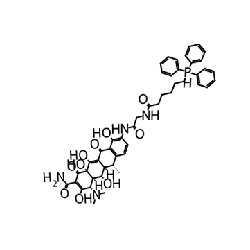 C[C@H]1c2ccc(NC(=O)CNC(=O)CCCCC[PH](c3ccccc3)(c3ccccc3)c3ccccc3)c(O)c2C(=O)C2=C(O)[C@]3(O)C(=O)C(C(N)=O)=C(O)[C@@H](N(C)C)[C@@H]3[C@@H](O)[C@@H]21